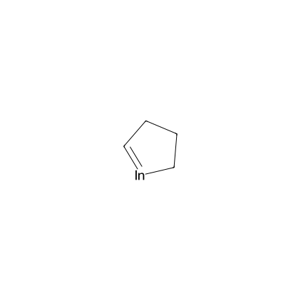 [CH]1=[In][CH2]CC1